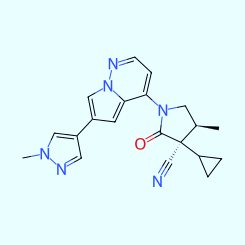 C[C@@H]1CN(c2ccnn3cc(-c4cnn(C)c4)cc23)C(=O)[C@]1(C#N)C1CC1